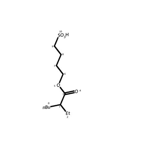 CCCCC(CC)C(=O)OCCCCS(=O)(=O)O